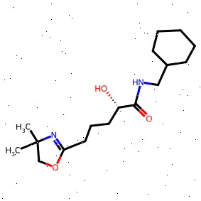 CC1(C)COC(CCC[C@H](O)C(=O)NCC2CCCCC2)=N1